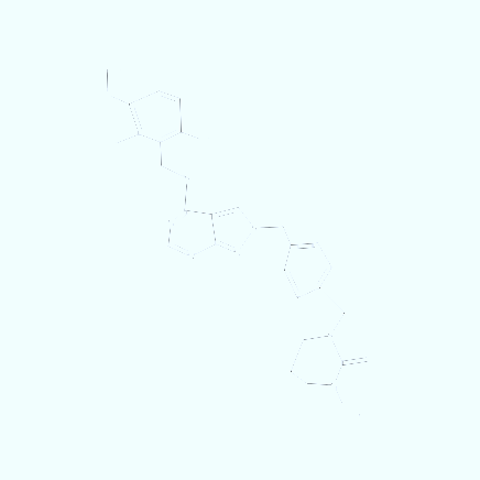 COc1ccc(Cl)c(CNc2ncnc3nn(Cc4ccc(CN5CCCN(C)C5=O)cc4)cc23)c1F